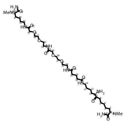 CN[C@@H](CCCCCC(=O)[C@@H](N)CCCCNC(=O)CCCC(=O)NCCOCCOCC(=O)NCCOCCOCC(=O)NCCCC[C@H](NC)C(N)=O)C(N)=O